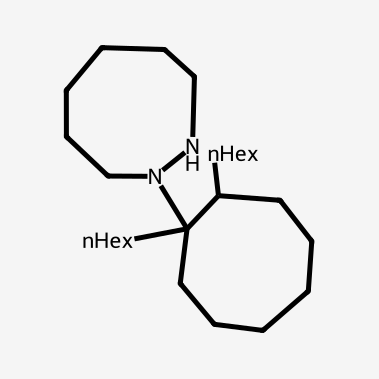 CCCCCCC1CCCCCCC1(CCCCCC)N1CCCCCCN1